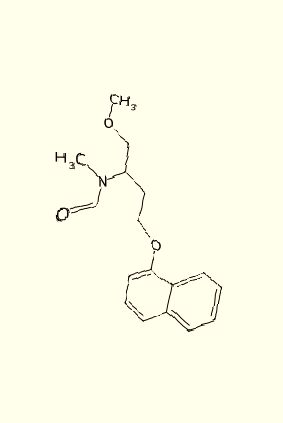 COCC(CCOc1cccc2ccccc12)N(C)C=O